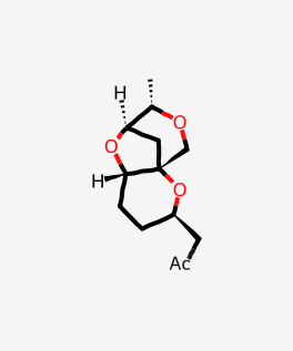 CC(=O)C[C@H]1CC[C@@H]2O[C@@H]3C[C@]2(CO[C@H]3C)O1